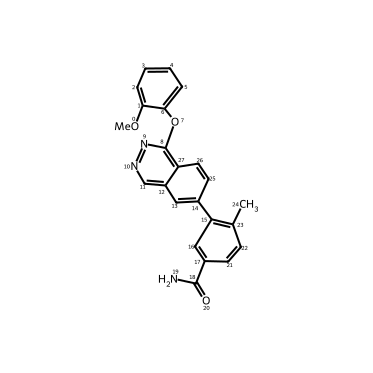 COc1ccccc1Oc1nncc2cc(-c3cc(C(N)=O)ccc3C)ccc12